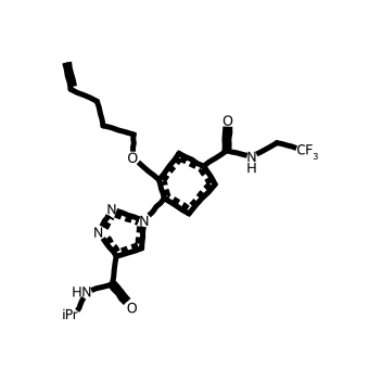 C=CCCCOc1cc(C(=O)NCC(F)(F)F)ccc1-n1cc(C(=O)NC(C)C)nn1